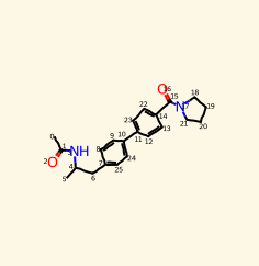 CC(=O)NC(C)Cc1ccc(-c2ccc(C(=O)N3CCCC3)cc2)cc1